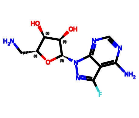 NC[C@H]1O[C@@H](n2nc(F)c3c(N)ncnc32)[C@H](O)[C@@H]1O